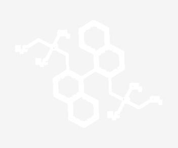 CC[N+](C)(C)Cc1ccc2ccccc2c1-c1c(C[N+](C)(C)CC)ccc2ccccc12